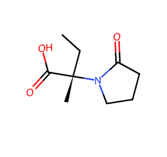 CC[C@@](C)(C(=O)O)N1CCCC1=O